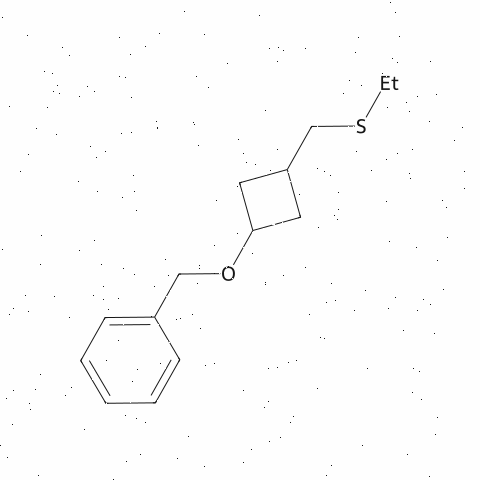 CCSCC1CC(OCc2ccccc2)C1